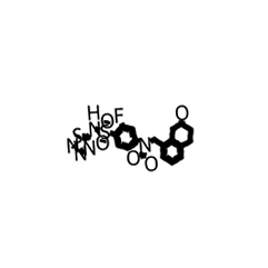 O=C1CCc2cccc(Cn3c(=O)oc4cc(S(=O)(=O)Nc5nnns5)c(F)cc43)c2C1